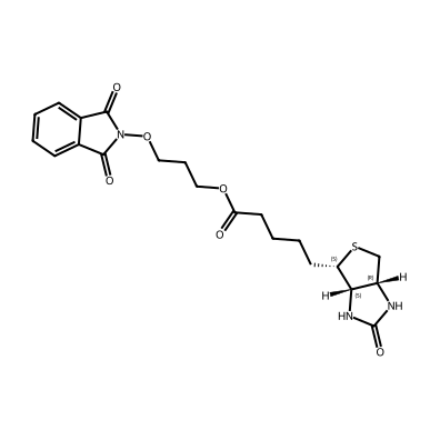 O=C1N[C@H]2[C@H](CS[C@H]2CCCCC(=O)OCCCON2C(=O)c3ccccc3C2=O)N1